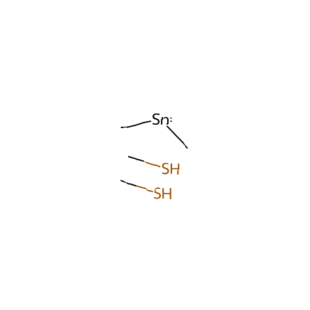 CS.CS.[CH3][Sn][CH3]